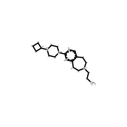 CCCN1CCc2cnc(N3CCN(C4CCC4)CC3)nc2CC1